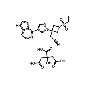 CCS(=O)(=O)N1CC(CC#N)(n2cc(-c3ncnc4[nH]ccc34)cn2)C1.O=C(O)CC(O)(CC(=O)O)C(=O)O